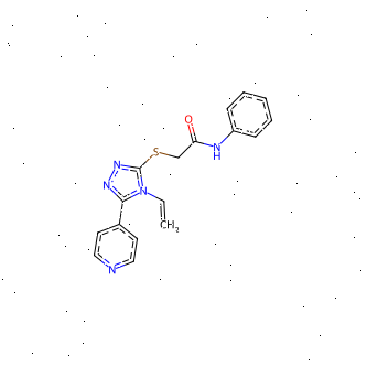 C=Cn1c(SCC(=O)Nc2ccccc2)nnc1-c1ccncc1